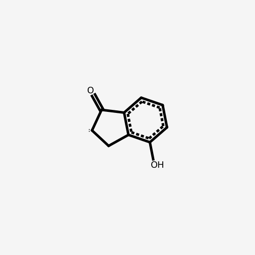 O=C1[C]Cc2c(O)cccc21